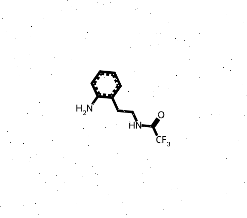 Nc1ccccc1CCNC(=O)C(F)(F)F